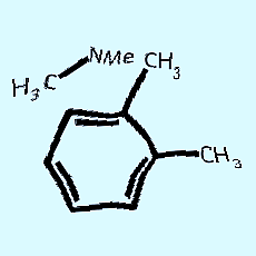 CNC.Cc1ccccc1C